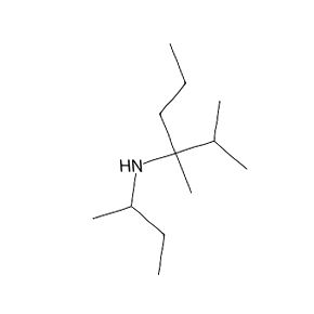 CCCC(C)(NC(C)CC)C(C)C